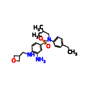 CCc1ccc(N(CC(C)C)S(=O)(=O)c2ccc(NCC3COC3)c(N)c2)cc1